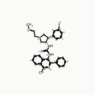 COCCN1C[C@@H](NC(=O)Nc2c(-c3ccccc3)nc(Cl)c3ccccc23)[C@H](c2cccc(F)c2)C1